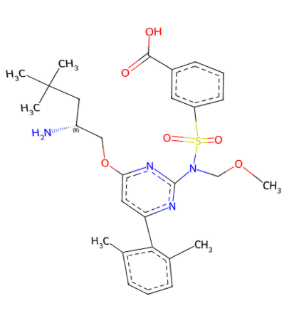 COCN(c1nc(OC[C@H](N)CC(C)(C)C)cc(-c2c(C)cccc2C)n1)S(=O)(=O)c1cccc(C(=O)O)c1